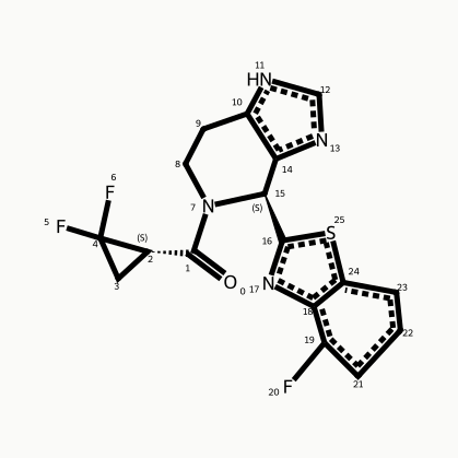 O=C([C@@H]1CC1(F)F)N1CCc2[nH]cnc2[C@H]1c1nc2c(F)cccc2s1